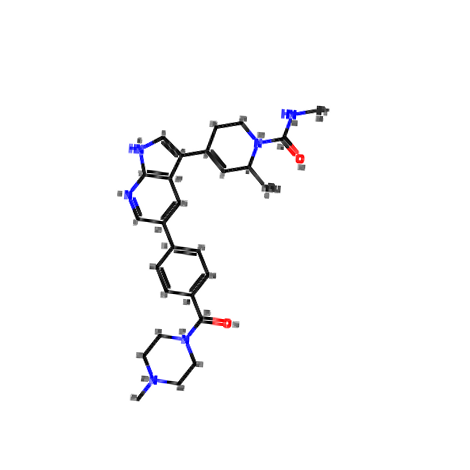 CCCCC1C=C(c2c[nH]c3ncc(-c4ccc(C(=O)N5CCN(C)CC5)cc4)cc23)CCN1C(=O)NC(C)C